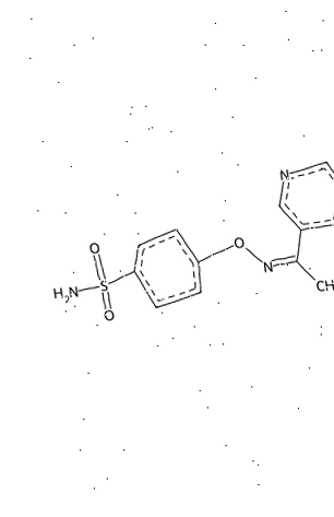 CC(=NOc1ccc(S(N)(=O)=O)cc1)c1cccnc1